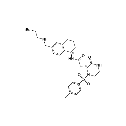 Cc1ccc(S(=O)(=O)N2CCNC(=O)[C@H]2CC(=O)N[C@@H]2CCCc3cc(CNCCC(C)(C)C)ccc32)cc1